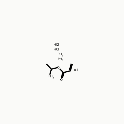 C=CC(=O)OC(C)P.Cl.Cl.Cl.P.P